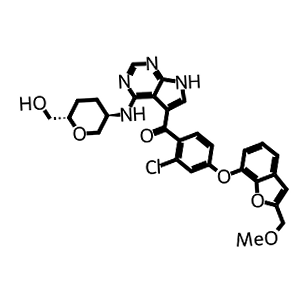 COCc1cc2cccc(Oc3ccc(C(=O)c4c[nH]c5ncnc(N[C@@H]6CC[C@@H](CO)OC6)c45)c(Cl)c3)c2o1